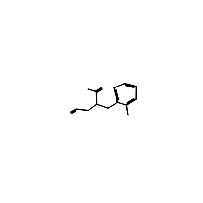 O=CCC(Cc1ccccc1F)C(=O)O